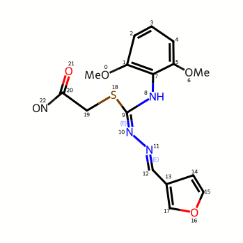 COc1cccc(OC)c1N/C(=N\N=C\c1ccoc1)SCC(=O)N=O